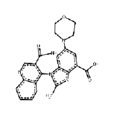 Cc1nc2c(C(=O)O)cc(N3CCOCC3)cc2n1-c1c(C(N)=O)cnc2ccccc12